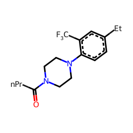 CCCC(=O)N1CCN(c2ccc(CC)cc2C(F)(F)F)CC1